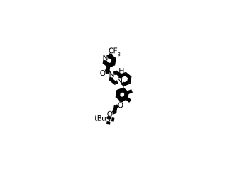 Cc1c(OCCO[Si](C)(C)C(C)(C)C)ccc([C@H]2CCC[C@H]3CN(C(=O)c4ccc(C(F)(F)F)nc4)CCN32)c1C